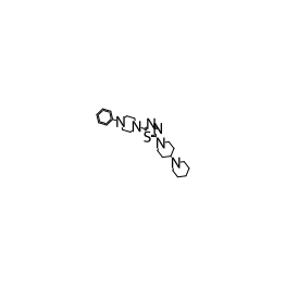 c1ccc(N2CCN(c3nnc(N4CCC(N5CCCCC5)CC4)s3)CC2)cc1